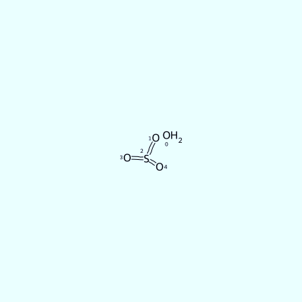 O.O=S(=O)=O